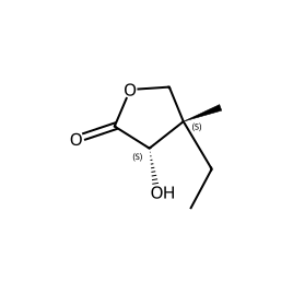 CC[C@@]1(C)COC(=O)[C@H]1O